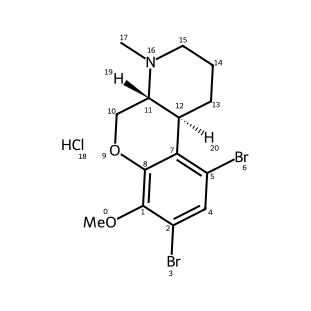 COc1c(Br)cc(Br)c2c1OC[C@H]1[C@H]2CCCN1C.Cl